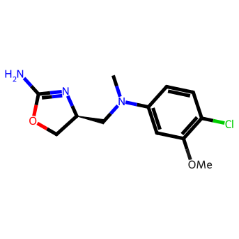 COc1cc(N(C)C[C@H]2COC(N)=N2)ccc1Cl